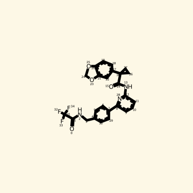 O=C(NCc1ccc(-c2cccc(NC(=O)C3(c4ccc5c(c4)OCO5)CC3)n2)cc1)C(F)(F)F